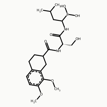 COc1ccc2c(c1OC)CC(C(=O)N[C@@H](CO)C(=O)NC(CC(C)C)B(O)O)CC2